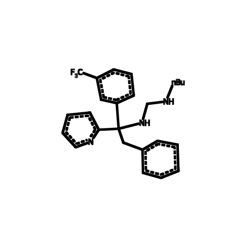 CCCCNCNC(Cc1ccccc1)(c1cccc(C(F)(F)F)c1)c1ccccn1